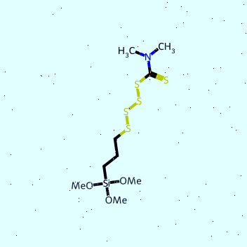 CO[Si](CCCSSSSC(=S)N(C)C)(OC)OC